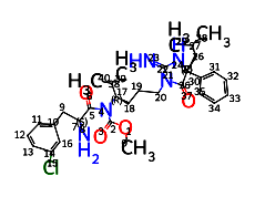 COC(=O)N(C(=O)[C@@H](N)Cc1cccc(Cl)c1)[C@H](CCCN1C(=N)N[C@](CC(C)C)(c2ccccc2)C1=O)C(C)C